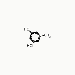 C[n+]1cccc(O)c1.Cl